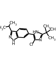 CC(C)c1n[nH]c2cc(-c3[nH]c(C(C)(C)C)nc3Cl)ccc12